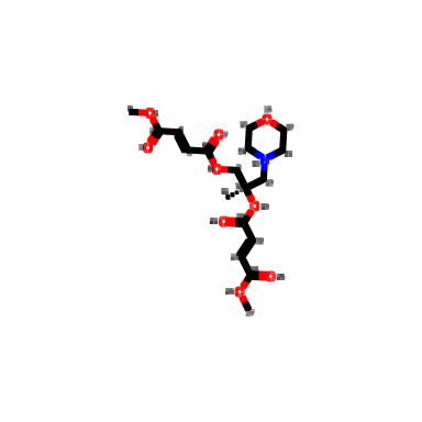 COC(=O)/C=C/C(=O)OC[C@@](C)(CN1CCOCC1)OC(=O)/C=C/C(=O)OC